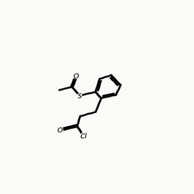 CC(=O)Sc1ccccc1CCC(=O)Cl